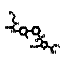 CSc1sc(C(=N)N)cc1S(=O)(=O)c1cccc(-c2ccc(NC(=N)NCCC(C)C)cc2C)c1